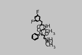 CNCC(=O)N(C(=O)[C@H](C)NC(=O)Cc1cc(F)cc(F)c1)c1ccccc1